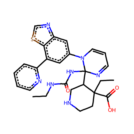 CCNC(=O)NC1(C2CNCCC2(CC)C(=O)O)N=CC=CN1c1cc(-c2ccccn2)c2scnc2c1